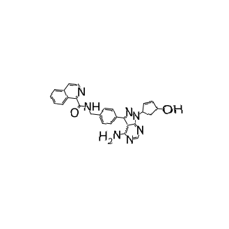 Nc1ncnc2c1c(-c1ccc(CNC(=O)c3nccc4ccccc34)cc1)nn2C1C=CC(O)C1